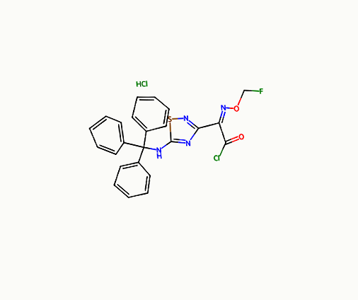 Cl.O=C(Cl)/C(=N\OCF)c1nsc(NC(c2ccccc2)(c2ccccc2)c2ccccc2)n1